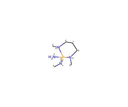 CN=P1(N)N(C)CCCN1C